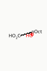 CCCCCCCCC(C=CCCCCCCC(=O)O)OO